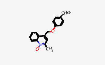 Cc1cc(COc2ccc([C]=O)cc2)c2ccccc2[n+]1[O-]